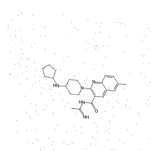 CC(=N)NC(=O)c1cc2cc(C)ccc2nc1N1CCC(NC2CCCC2)CC1